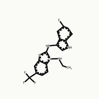 CCNn1c(Nc2c[nH]c3ccc(F)cc23)nc2cc(C(F)(F)F)ccc21